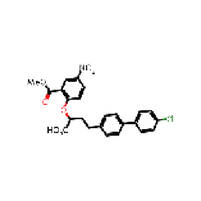 COC(=O)c1cc([N+](=O)[O-])ccc1OC(CCc1ccc(-c2ccc(Cl)cc2)cc1)C(=O)O